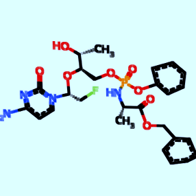 C[C@H](NP(=O)(OC[C@@H](O[C@H](CF)n1ccc(N)nc1=O)[C@@H](C)O)Oc1ccccc1)C(=O)OCc1ccccc1